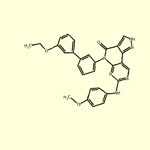 CCOc1cccc(-c2cccc(-n3c(=O)c4c[nH]nc4c4cnc(Nc5ccc(OC)cc5)nc43)c2)c1